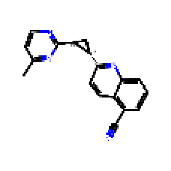 Cc1ccnc([C@H]2C[C@@H]2c2ccc3c(C#N)cccc3n2)n1